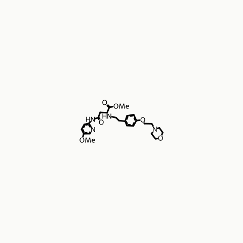 COC(=O)C(CC(=O)Nc1ccc(OC)cn1)NCCc1ccc(OCCN2CCOCC2)cc1